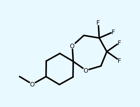 COC1CCC2(CC1)OCC(F)(F)C(F)(F)CO2